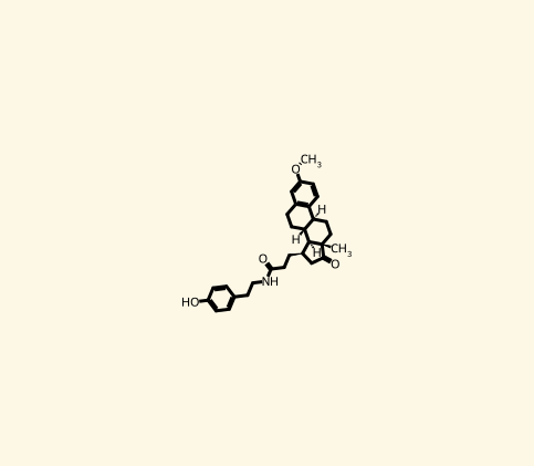 COc1ccc2c(c1)CC[C@H]1[C@@H]3[C@H](CCC(=O)NCCc4ccc(O)cc4)CC(=O)[C@@]3(C)CC[C@H]21